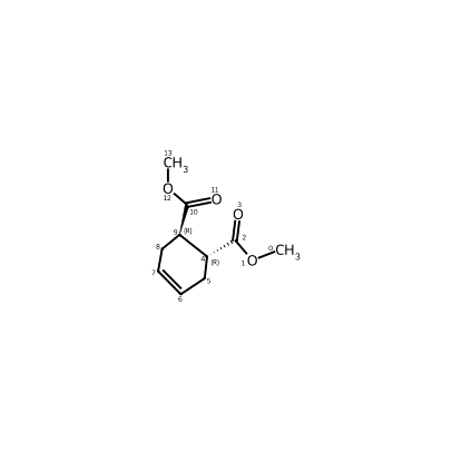 COC(=O)[C@@H]1CC=CC[C@H]1C(=O)OC